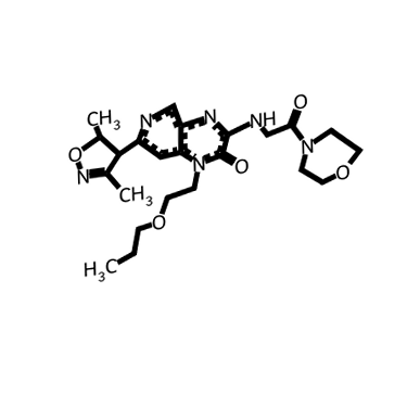 CCCOCCn1c(=O)c(NCC(=O)N2CCOCC2)nc2cnc(C3C(C)=NOC3C)cc21